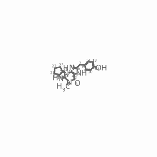 CN1C(=O)c2[nH]c(Cc3ccc(O)cc3)nc2N2C1=N[C@@H]1CCC[C@@H]12